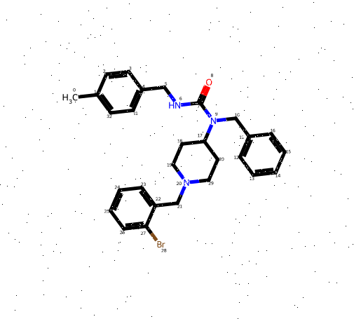 Cc1ccc(CNC(=O)N(Cc2ccccc2)C2CCN(Cc3ccccc3Br)CC2)cc1